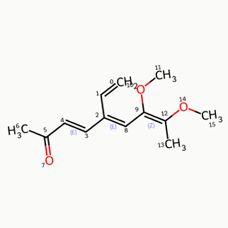 C=CC(/C=C/C(C)=O)=C\C(OC)=C(/C)OC